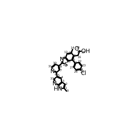 Cc1cc2cc(-c3cc(-c4nc5cc(C)c(CC(=O)O)c(-c6ccc(Cl)cc6)c5s4)ccn3)cnc2[nH]1